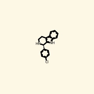 Clc1ccc([C@H]2NCCc3c2[nH]c2ccccc32)cc1